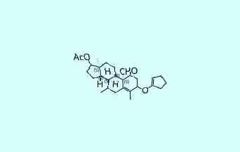 CC(=O)OC1CC[C@H]2[C@@H]3C(C)CC4=C(C)C(OC5=CCCC5)CC[C@]4(C=O)[C@@H]3CC[C@]12C